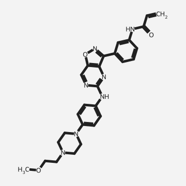 C=CC(=O)Nc1cccc(-c2noc3cnc(Nc4ccc(N5CCN(CCOC)CC5)cc4)nc23)c1